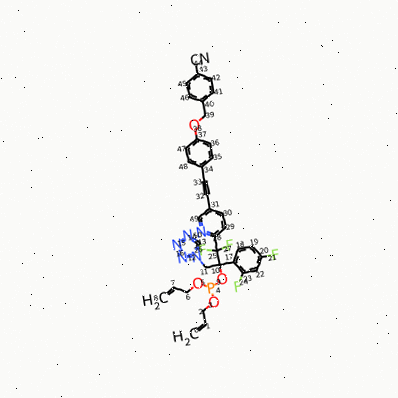 C=CCOP(OCC=C)OC(Cn1cnnn1)(c1ccc(F)cc1F)C(F)(F)c1ccc(C#Cc2ccc(OCc3ccc(C#N)cc3)cc2)cn1